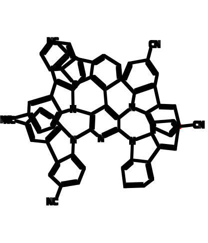 N#Cc1ccc2c(c1)c1cc(C#N)ccc1n2-c1nc(-n2c3ccccc3c3ccccc32)c(-n2c3ccc(C#N)cc3c3cc(C#N)ccc32)c(-c2cccc3c2sc2ccccc23)c1-n1c2ccc(C#N)cc2c2cc(C#N)ccc21